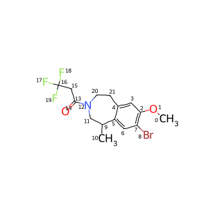 COc1cc2c(cc1Br)C(C)CN(C(=O)CC(F)(F)F)CC2